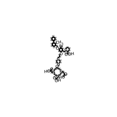 Cc1c(COc2cc(OCCCN3CCN(CON4CCN(CC(=O)O)CCN(CC(=O)O)CCN(CC5OC5O)CC4)CC3)c(CN3CCCC[C@H]3C(=O)O)cc2Br)cccc1-c1ccccc1